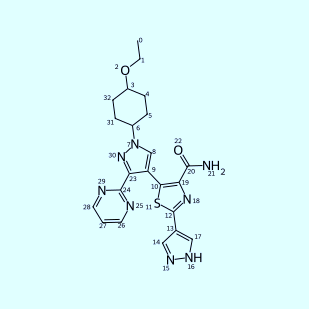 CCOC1CCC(n2cc(-c3sc(-c4cn[nH]c4)nc3C(N)=O)c(-c3ncccn3)n2)CC1